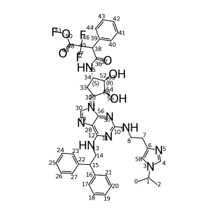 CC(C)n1cnc(CCNc2nc(NCC(c3ccccc3)c3ccccc3)c3ncn([C@@H]4C[C@H](NC(=O)C(c5ccccc5)C(F)(F)C(=O)OF)[C@@H](O)[C@H]4O)c3n2)c1